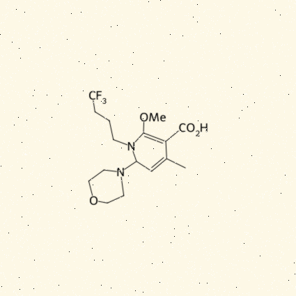 COC1=C(C(=O)O)C(C)=CC(N2CCOCC2)N1CCCC(F)(F)F